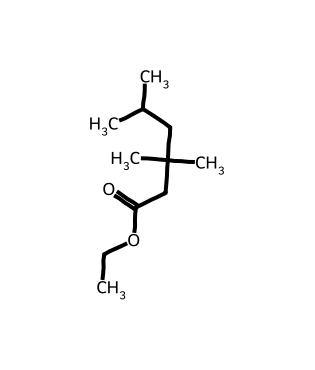 CCOC(=O)CC(C)(C)CC(C)C